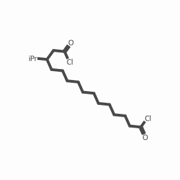 CC(C)C(CCCCCCCCCCCC(=O)Cl)CC(=O)Cl